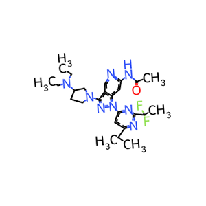 CCN(CC)C1CCN(c2nn(-c3cc(C(C)C)nc(C(C)(F)F)n3)c3cc(NC(C)=O)ncc23)C1